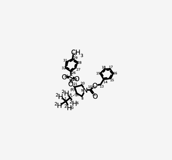 [2H]C([2H])([2H])C([2H])([2H])[C@H]1CN(C(=O)OCc2ccccc2)C[C@@H]1OS(=O)(=O)c1ccc(C)cc1